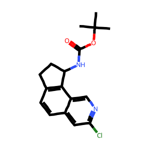 CC(C)(C)OC(=O)NC1CCc2ccc3cc(Cl)ncc3c21